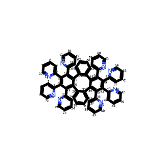 c1ccc(-c2c(-c3ccccn3)c(-c3ccccn3)c3c(c2-c2ccccn2)-c2ccccc2-c2c(-c4ccccn4)c(-c4ccccn4)c(-c4ccccn4)c(-c4ccccn4)c2-c2ccccc2-3)nc1